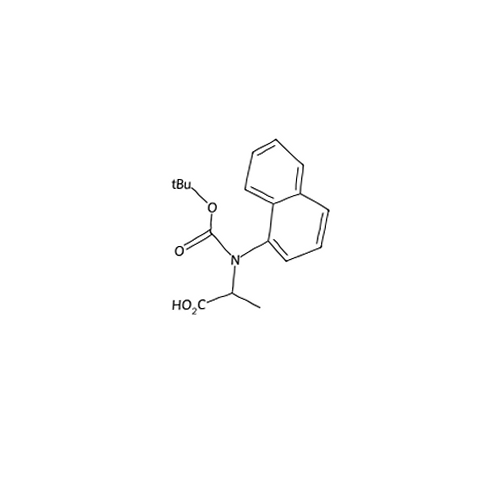 CC(C(=O)O)N(C(=O)OC(C)(C)C)c1cccc2ccccc12